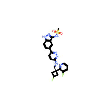 CS(=O)(=O)Nc1n[nH]c2ccc(-c3ccc(NC[C@]4(c5ncccc5F)C[C@H](F)C4)nn3)cc12